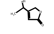 CCCC(C)C1=CC(=O)OC1